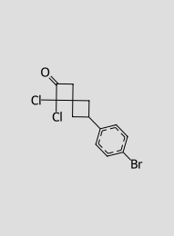 O=C1CC2(CC(c3ccc(Br)cc3)C2)C1(Cl)Cl